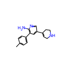 Cc1ccc(-c2cc(C3=CCNCC3)cnc2N)cc1